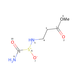 COC(=O)CCN[S+]([O-])C(N)=O